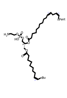 CCCC/C=C\CCCCCCCC(=O)OC[C@H](COP(=O)(O)OCCN)OC(=O)CCCCCCCCC/C=C\C/C=C\CCCCC